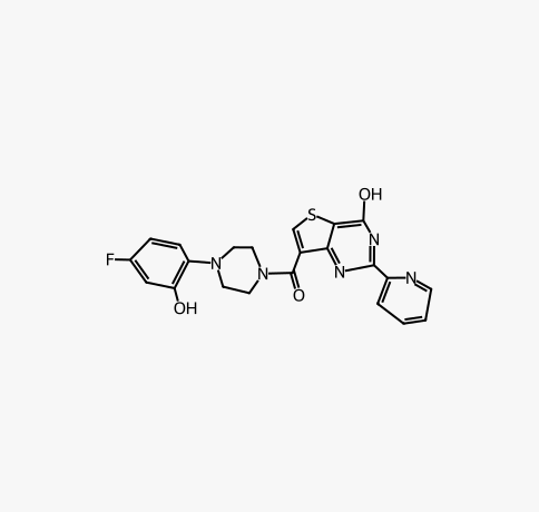 O=C(c1csc2c(O)nc(-c3ccccn3)nc12)N1CCN(c2ccc(F)cc2O)CC1